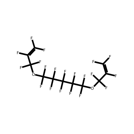 FC(F)=C(F)C(F)(F)OC(F)(F)C(F)(F)C(F)(F)C(F)(F)C(F)(F)OC(F)(F)C(F)=C(F)F